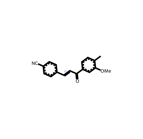 COc1cc(C(=O)/C=C/c2ccc(C#N)cc2)ccc1C